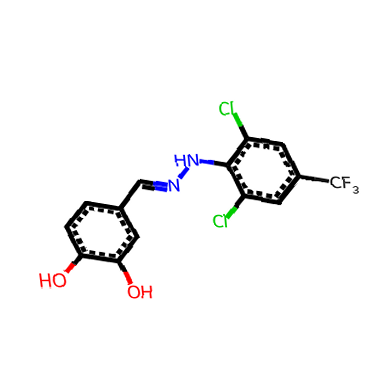 Oc1ccc(/C=N/Nc2c(Cl)cc(C(F)(F)F)cc2Cl)cc1O